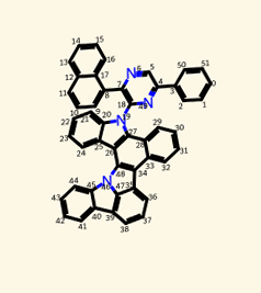 c1ccc(-c2cnc(-c3cccc4ccccc34)c(-n3c4ccccc4c4c3c3ccccc3c3c5cccc6c7ccccc7n(c65)c34)n2)cc1